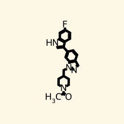 CC(=O)N1CCC(Cn2ncc3ccc(-c4c[nH]c5cc(F)ccc45)cc32)CC1